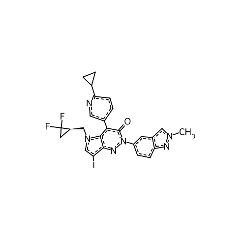 Cn1cc2cc(-n3nc4c(I)cn(C[C@H]5CC5(F)F)c4c(-c4ccc(C5CC5)nc4)c3=O)ccc2n1